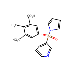 Cc1c(C(=O)O)cccc1C(=O)O.O=S(=O)(c1cccnc1)n1cccc1